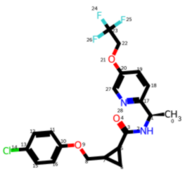 C[C@@H](NC(=O)C1CC1COc1ccc(Cl)cc1)c1ccc(OCC(F)(F)F)cn1